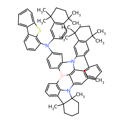 Cc1cc2c3c(c1)N1c4c(cccc4C4(C)CCCCC14C)B3c1ccc(N(c3ccc4c(c3)C(C)(C)CCC4(C)C)c3cccc4c3sc3ccccc34)cc1N2c1cc2c(cc1-c1ccccc1)C(C)(C)CCC2(C)C